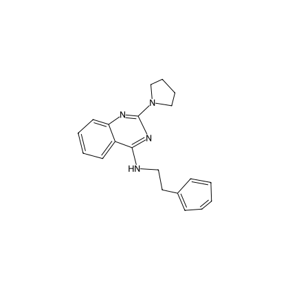 c1ccc(CCNc2nc(N3CCCC3)nc3ccccc23)cc1